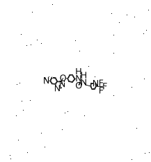 CN(C)c1ccc2c(Oc3ccc(NC(=O)NCc4ccc(C(F)(F)F)nc4)cc3)ncnc2c1